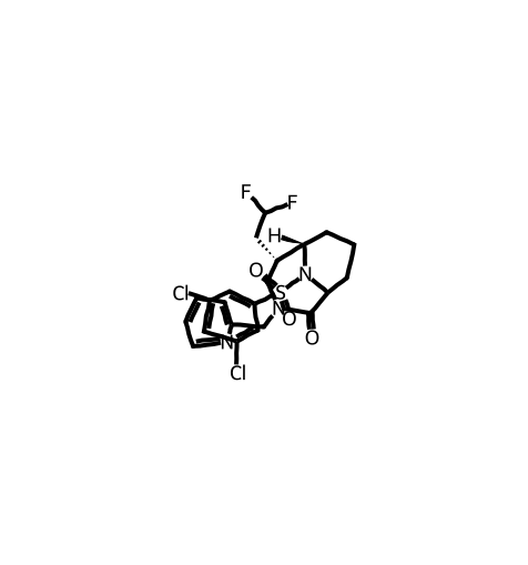 O=C1C2CCC[C@@H]([C@@H](CC(F)F)CN1Cc1ccccn1)N2S(=O)(=O)c1cc(Cl)cc(Cl)c1